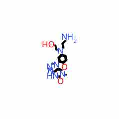 Cn1c(=O)[nH]c2c(c1=O)N(c1cccc(N(CCO)CCCN)c1)CN=N2